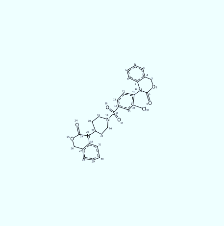 O=C1OCc2ccccc2N1c1ccc(S(=O)(=O)N2CCC(N3C(=O)OCc4ccccc43)CC2)cc1Cl